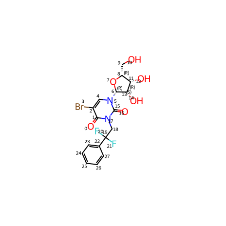 O=c1c(Br)cn([C@@H]2O[C@H](CO)[C@H](O)[C@@H]2O)c(=O)n1CC(F)(F)c1ccccc1